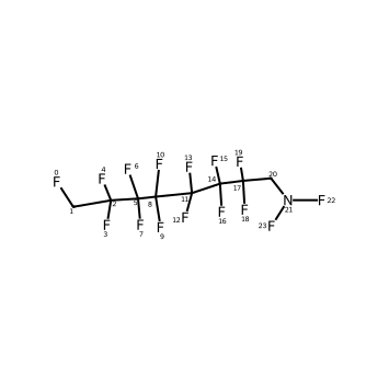 FCC(F)(F)C(F)(F)C(F)(F)C(F)(F)C(F)(F)C(F)(F)CN(F)F